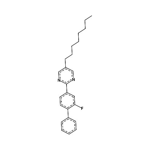 CCCCCCCCc1cnc(-c2ccc(-c3ccccc3)c(F)c2)nc1